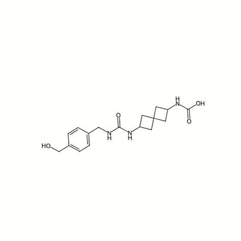 O=C(O)NC1CC2(C1)CC(NC(=O)NCc1ccc(CO)cc1)C2